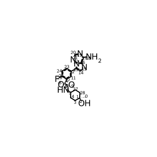 C[C@]1(O)CC[C@@H](NS(=O)(=O)c2cc(-c3cnc4c(N)ncnn34)ccc2F)CC1